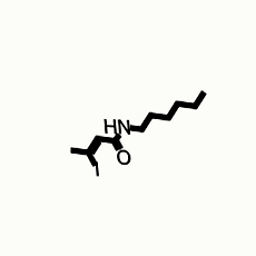 CCCCCCNC(=O)C=C(C)I